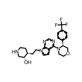 O[C@@H]1CNCC[C@H]1CCn1ccc2c(N3CCOC[C@@H]3c3ccc(C(F)(F)F)cc3)ncnc21